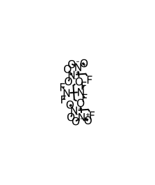 O=[N+]([O-])C(CF)(OCC(COC(CF)([N+](=O)[O-])[N+](=O)[O-])(N(F)F)N(F)F)[N+](=O)[O-]